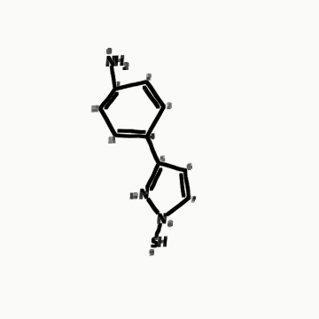 Nc1ccc(-c2ccn(S)n2)cc1